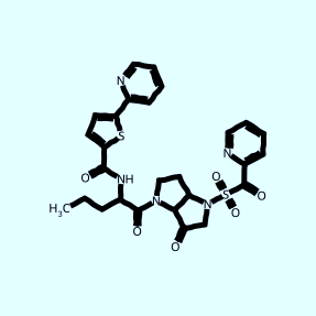 CCCC(NC(=O)c1ccc(-c2ccccn2)s1)C(=O)N1CCC2C1C(=O)CN2S(=O)(=O)C(=O)c1ccccn1